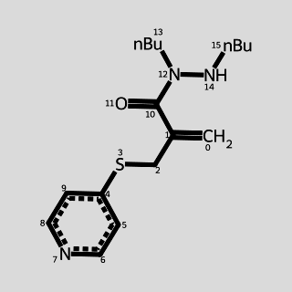 C=C(CSc1ccncc1)C(=O)N(CCCC)NCCCC